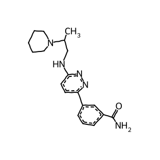 CC(CNc1ccc(-c2cccc(C(N)=O)c2)nn1)N1CCCCC1